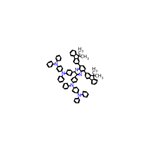 CC1(C)c2ccccc2-c2ccc(-c3ccc(-c4ccc5c(c4)C(C)(C)c4ccccc4-5)c4nc(-c5ccc(N(c6ccccc6)c6ccc(N(c7ccccc7)c7ccccc7)cc6)cc5)c(-c5ccc(N(c6ccccc6)c6ccc(N(c7ccccc7)c7ccccc7)cc6)cc5)nc34)cc21